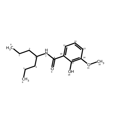 CCCC(CCC)NC(=O)c1cccc(OC)c1O